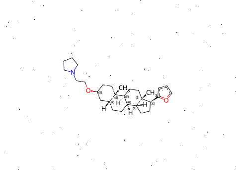 C[C@]12CC[C@H](OCCN3CCCC3)C[C@H]1CC[C@H]1[C@H]3CC[C@H](c4ccco4)[C@@]3(C)CC[C@@H]12